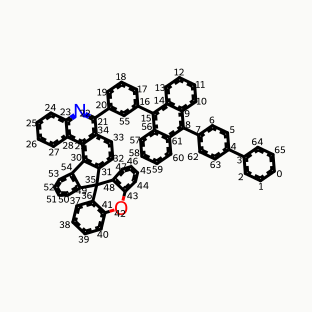 c1ccc(-c2ccc(-c3c4ccccc4c(-c4cccc(-c5nc6ccccc6c6c7c(ccc56)C5(c6ccccc6Oc6ccccc65)c5ccccc5-7)c4)c4ccccc34)cc2)cc1